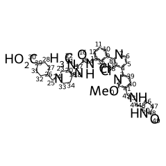 COc1nc(-c2ccnc(-c3cccc(NC(=O)c4nc5c(n4C)CN(CC4CCC(C(=O)O)CC4)CC5)c3Cl)c2Cl)ccc1CNCC1CCC(=O)N1